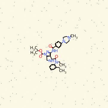 CCc1ccccc1N(CC)C(=O)C1NCc2c1c(NC(=O)c1ccc(N3CCN(C)CC3)cc1)nn2C(=O)OC(C)C